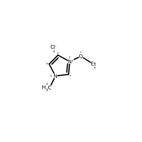 CCO[n+]1ccn(C)c1.[Cl-]